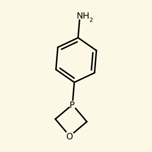 Nc1ccc(P2COC2)cc1